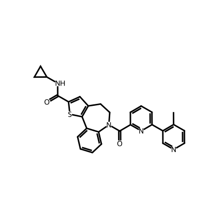 Cc1ccncc1-c1cccc(C(=O)N2CCc3cc(C(=O)NC4CC4)sc3-c3ccccc32)n1